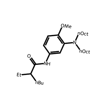 CCCCCCCCN(CCCCCCCC)c1cc(NC(=O)C(CC)CCCC)ccc1OC